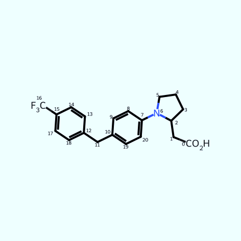 O=C(O)CC1CCCN1c1ccc(Cc2ccc(C(F)(F)F)cc2)cc1